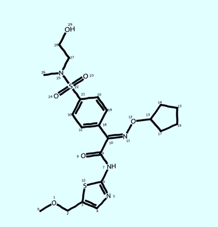 COCc1cnc(NC(=O)/C(=N/OC2CCCC2)c2ccc(S(=O)(=O)N(C)CCO)cc2)s1